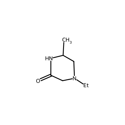 CCN1CC(=O)NC(C)C1